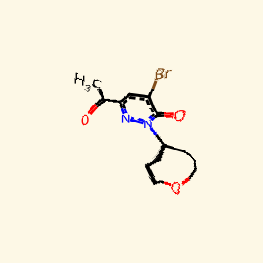 CC(=O)c1cc(Br)c(=O)n(C2CCOCC2)n1